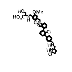 COc1cc(Cn2ncc3c(-c4cccc(-c5ccc(CNCC6CCC(=O)N6)cc5)c4Cl)cccc32)c(Cl)cc1CNC(CO)C(=O)O